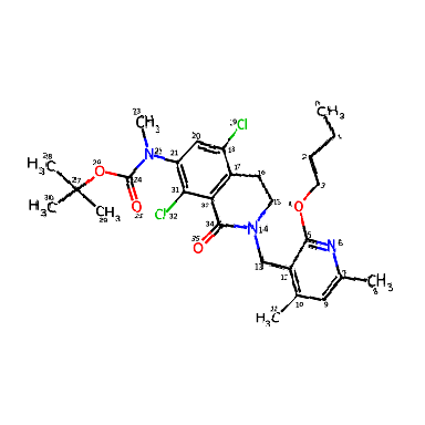 CCCCOc1nc(C)cc(C)c1CN1CCc2c(Cl)cc(N(C)C(=O)OC(C)(C)C)c(Cl)c2C1=O